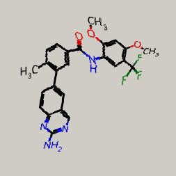 COc1cc(OC)c(C(F)(F)F)cc1NC(=O)c1ccc(C)c(-c2ccc3nc(N)ncc3c2)c1